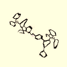 CCC1(CC)c2cc(/C=C/c3ccc(-c4cc(-c5ccccc5)ccc4-c4nc5c(n4-c4ccccc4)C=CCC5)cc3)ccc2-c2ccc(N(c3ccccc3)c3ccccc3)cc21